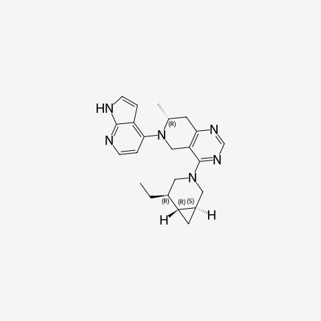 CC[C@H]1CN(c2ncnc3c2CN(c2ccnc4[nH]ccc24)[C@H](C)C3)C[C@H]2C[C@@H]21